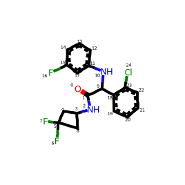 O=C(NC1CC(F)(F)C1)C(Nc1cccc(F)c1)c1ccccc1Cl